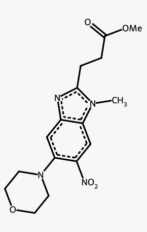 COC(=O)CCc1nc2cc(N3CCOCC3)c([N+](=O)[O-])cc2n1C